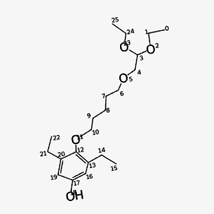 CCOC(COCCCCCOc1c(CC)cc(O)cc1CC)OCC